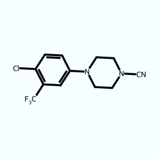 N#CN1CCN(c2ccc(Cl)c(C(F)(F)F)c2)CC1